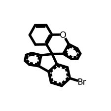 Brc1ccc2c(c1)C1(C3=C(C=CCC3)Oc3ccccc31)c1ccccc1-2